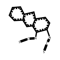 S=C=Nc1ccc2cc3ccccc3cc2c1N=C=S